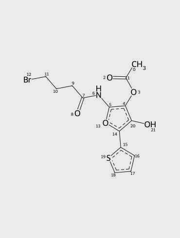 CC(=O)Oc1c(NC(=O)CCCBr)oc(-c2cccs2)c1O